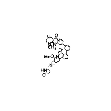 COc1nc(-c2cccc(-c3cccc(-c4ccn5c(=O)c6c(nc5c4)N(C)CCN=C6)c3Cl)c2Cl)ccc1CNC[C@@H]1CCC(=O)N1